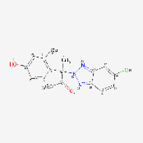 COC(=O)C(C)(c1ccc(O)cc1C(C)(C)C)n1nc2ccc(Cl)cc2n1